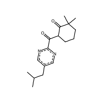 CC(C)Cc1cnc(C(=O)C2CCCC(C)(C)C2=O)nc1